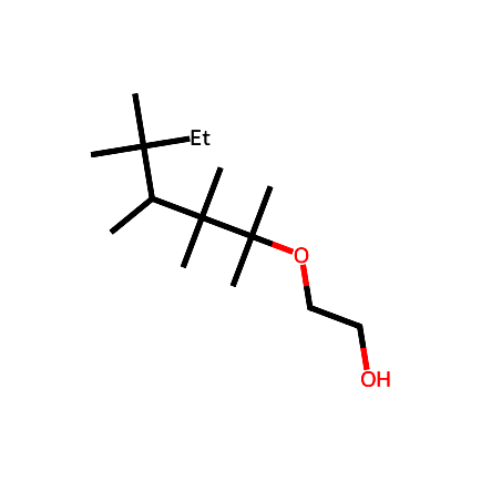 CCC(C)(C)C(C)C(C)(C)C(C)(C)OCCO